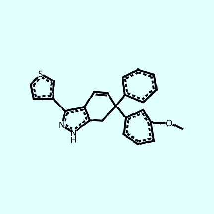 COc1cccc(C2(c3ccccc3)C=Cc3c(-c4ccsc4)n[nH]c3C2)c1